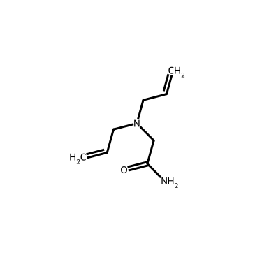 C=CCN(CC=C)CC(N)=O